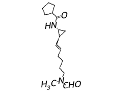 CN(C=O)CCCC/C=C/[C@@H]1C[C@H]1NC(=O)C1CCCC1